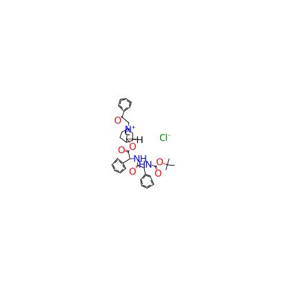 CC(C)(C)OC(=O)NC(C(=O)NC(C(=O)O[C@H]1C[N+]2(CC(=O)c3ccccc3)CCC1CC2)c1ccccc1)c1ccccc1.[Cl-]